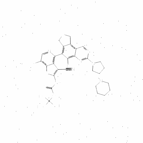 C[C@H]1[C@@H](N2CCCCC2)CCN1c1ncc2c3c(c(-c4ncc(F)c5sc(NC(=O)OC(C)(C)C)c(C#N)c45)c(F)c2n1)COC3